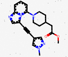 COC(=O)CC1CCN(c2cccc3ncc(C#Cc4cnn(C)c4)n23)CC1